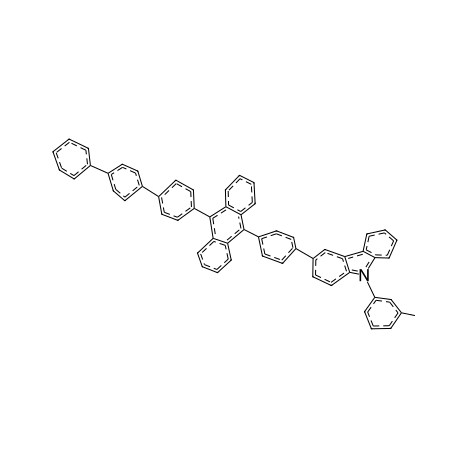 Cc1cccc(-n2c3ccccc3c3cc(-c4ccc(-c5c6ccccc6c(-c6ccc(-c7ccc(-c8ccccc8)cc7)cc6)c6ccccc56)cc4)ccc32)c1